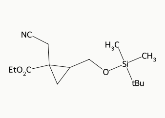 CCOC(=O)C1(CC#N)CC1CO[Si](C)(C)C(C)(C)C